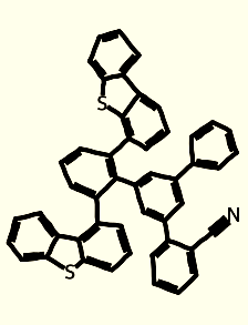 N#Cc1ccccc1-c1cc(-c2ccccc2)cc(-c2c(-c3cccc4c3sc3ccccc34)cccc2-c2cccc3sc4ccccc4c23)c1